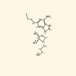 CCCSc1nc(N)c2nnn([C@@H]3C[C@H](OCCO)[C@@H](O)[C@H]3O)c2n1